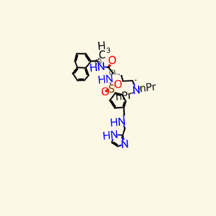 CCCN([CH]CC[C@H](NS(=O)(=O)c1ccc(CNCc2ncc[nH]2)cc1)C(=O)N[C@@H](C)c1cccc2ccccc12)CCC